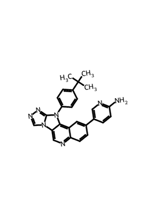 CC(C)(C)c1ccc(-n2c3c4cc(-c5ccc(N)nc5)ccc4ncc3n3cnnc23)cc1